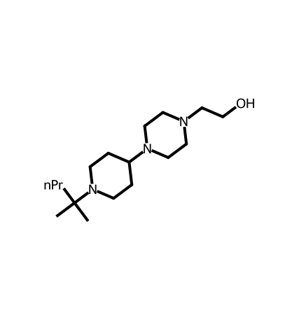 CCCC(C)(C)N1CCC(N2CCN(CCO)CC2)CC1